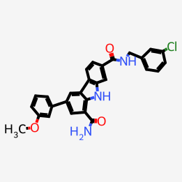 COc1cccc(-c2cc(C(N)=O)c3[nH]c4cc(C(=O)NCc5cccc(Cl)c5)ccc4c3c2)c1